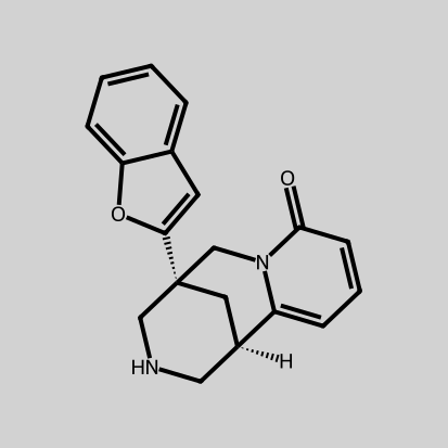 O=c1cccc2n1C[C@]1(c3cc4ccccc4o3)CNC[C@H]2C1